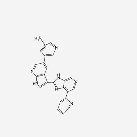 Nc1cncc(-c2cnc3[nH]cc(-c4nc5c(-c6ccccn6)cncc5[nH]4)c3c2)c1